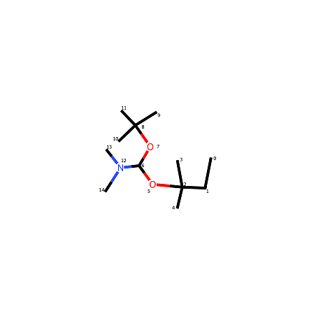 CCC(C)(C)OC(OC(C)(C)C)N(C)C